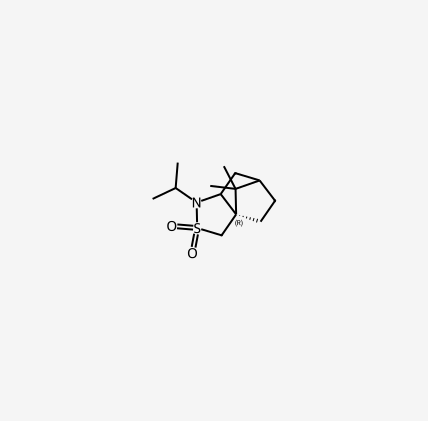 CC(C)N1C2CC3CC[C@@]2(CS1(=O)=O)C3(C)C